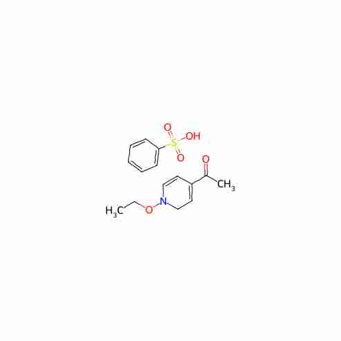 CCON1C=CC(C(C)=O)=CC1.O=S(=O)(O)c1ccccc1